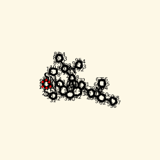 O=c1c2ccc(N3c4ccccc4Sc4ccccc43)c(N3c4ccccc4Sc4ccccc43)c2ccc2ccc3ccc4c(-c5ccc6c7ccc(-c8ccccc8)cc7n(-c7ccccc7)c6c5)ccc(-c5ccc6c7ccc(-c8ccccc8)cc7n(-c7ccccc7)c6c5)c4c(=O)c3c12